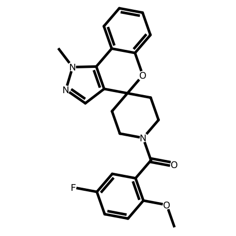 COc1ccc(F)cc1C(=O)N1CCC2(CC1)Oc1ccccc1-c1c2cnn1C